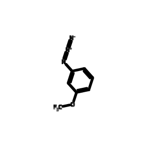 [N-]=[N+]=Nc1cccc(OC(F)(F)F)c1